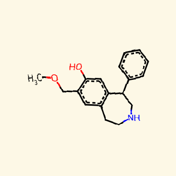 COCc1cc2c(cc1O)C(c1ccccc1)CNCC2